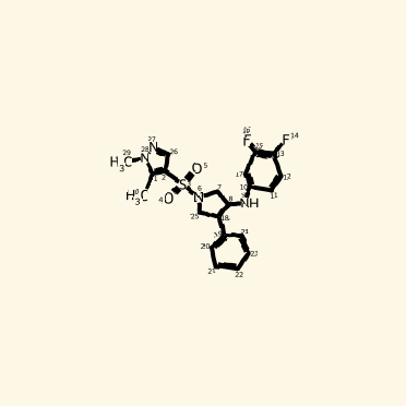 Cc1c(S(=O)(=O)N2CC(Nc3ccc(F)c(F)c3)C(c3ccccc3)C2)cnn1C